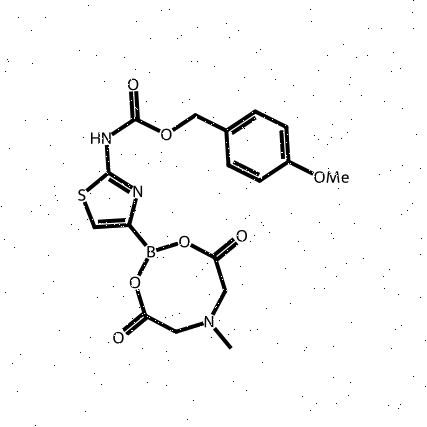 COc1ccc(COC(=O)Nc2nc(B3OC(=O)CN(C)CC(=O)O3)cs2)cc1